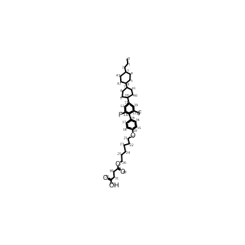 CCCC1CCC(C2CCC(c3cc(F)c(-c4ccc(OCCCCCCOC(=O)CCC(=O)O)cc4)c(F)c3)CC2)CC1